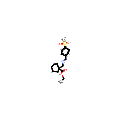 CCOC(=O)C1(CNCc2ccc(S(C)(=O)=O)cc2)CCCCC1